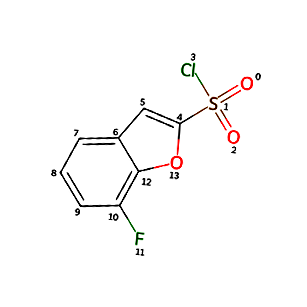 O=S(=O)(Cl)c1cc2cccc(F)c2o1